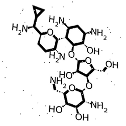 NC[C@@H]1O[C@H](O[C@H]2[C@@H](O)[C@H](O[C@@H]3[C@@H](O)[C@H](N)C[C@H](N)[C@H]3C3O[C@H]([C@@H](N)C4CC4)CC[C@H]3N)O[C@@H]2CO)[C@H](N)[C@@H](O)[C@@H]1O